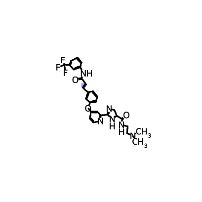 CN(C)CCNC(=O)C1CN=C(c2cc(Oc3cccc(/C=C/C(=O)Nc4cccc(C(F)(F)F)c4)c3)ccn2)N1